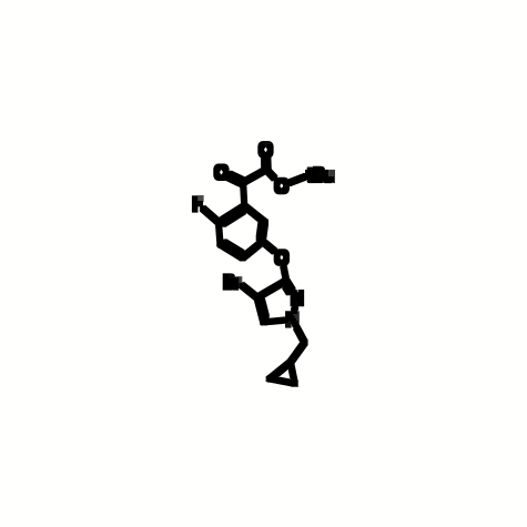 CC(C)(C)OC(=O)C(=O)c1cc(Oc2nn(CC3CC3)cc2Br)ccc1F